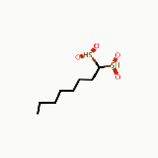 CCCCCCCC([SH](=O)=O)[SH](=O)=O